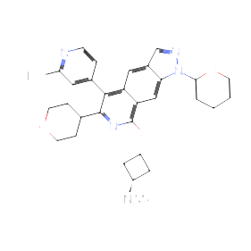 CN[C@H]1C[C@H](Oc2nc(C3CCOCC3)c(-c3ccnc(C)c3)c3cc4cnn(C5CCCCO5)c4cc23)C1